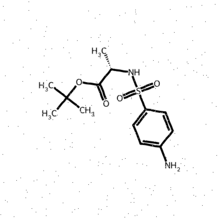 C[C@H](NS(=O)(=O)c1ccc(N)cc1)C(=O)OC(C)(C)C